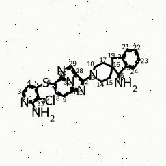 Nc1nccc(Sc2ccc3nc(N4CCC5(CC4)Cc4ccccc4C5N)c4cnc2n34)c1Cl